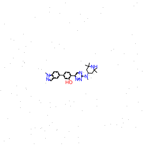 CN(c1ncc(-c2ccc(-c3ccc4c(cnn4C)c3)cc2O)nn1)C1CC(C)(C)NC(C)(C)C1